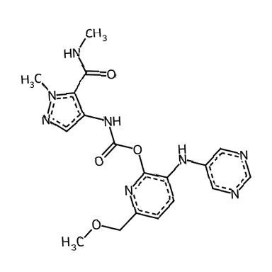 CNC(=O)c1c(NC(=O)Oc2nc(COC)ccc2Nc2cncnc2)cnn1C